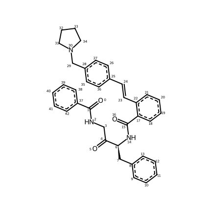 O=C(NCC(=O)[C@H](Cc1ccccc1)NC(=O)c1ccccc1C=Cc1ccc(CN2CCCC2)cc1)c1ccccc1